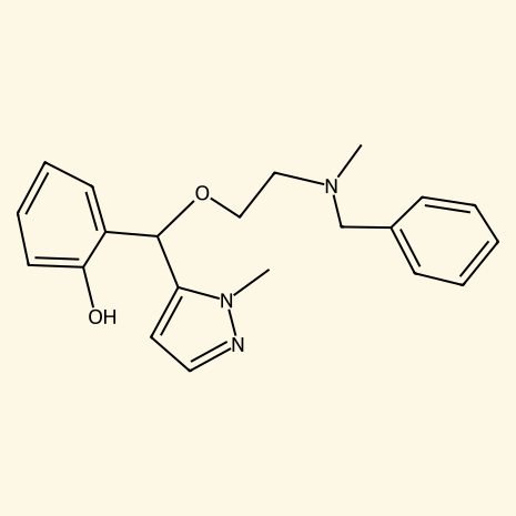 CN(CCOC(c1ccccc1O)c1ccnn1C)Cc1ccccc1